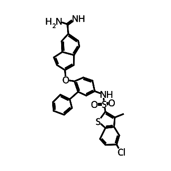 Cc1c(S(=O)(=O)Nc2ccc(Oc3ccc4cc(C(=N)N)ccc4c3)c(-c3ccccc3)c2)sc2ccc(Cl)cc12